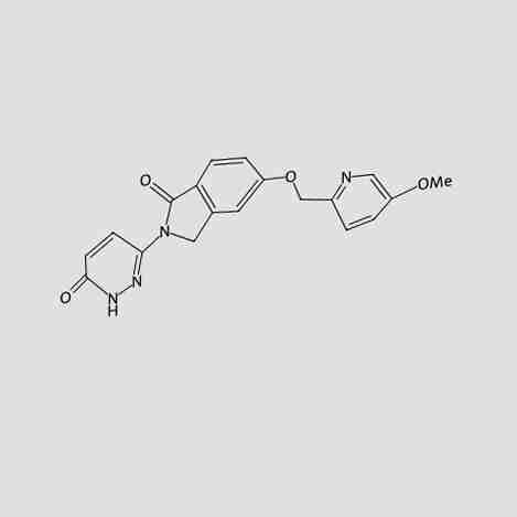 COc1ccc(COc2ccc3c(c2)CN(c2ccc(=O)[nH]n2)C3=O)nc1